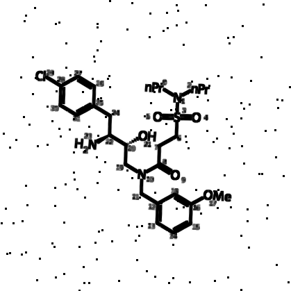 CCCN(CCC)S(=O)(=O)CCC(=O)N(Cc1cccc(OC)c1)C[C@@H](O)[C@@H](N)Cc1ccc(Cl)cc1